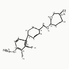 CCCCOc1ccc(C2CCC(COC3CCC(CC)CO3)CC2)c(F)c1F